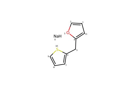 [NaH].c1coc(Cc2cccs2)c1